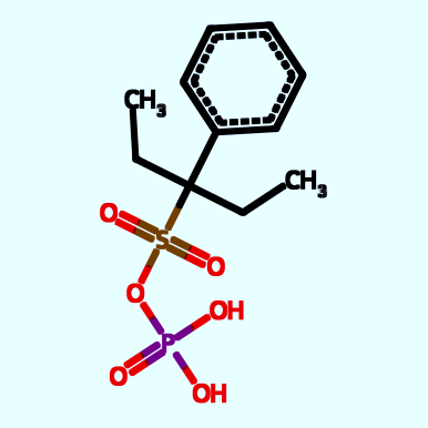 CCC(CC)(c1ccccc1)S(=O)(=O)OP(=O)(O)O